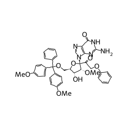 COc1ccc(C(OC[C@H]2O[C@@](C(=O)COc3ccccc3)(n3cnc4c(=O)[nH]c(N)nc43)[C@H](OC)[C@@H]2O)(c2ccccc2)c2ccc(OC)cc2)cc1